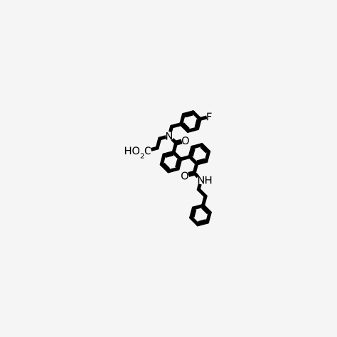 O=C(O)CCN(Cc1ccc(F)cc1)C(=O)c1ccccc1-c1ccccc1C(=O)NCCc1ccccc1